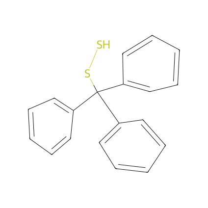 SSC(c1ccccc1)(c1ccccc1)c1ccccc1